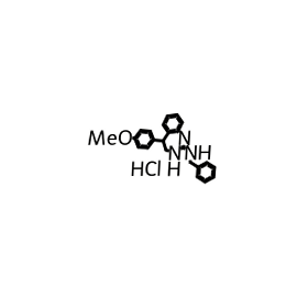 COc1ccc(C2CNC(NCc3ccccc3)=Nc3ccccc32)cc1.Cl